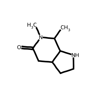 CC1C2NCCC2CC(=O)N1C